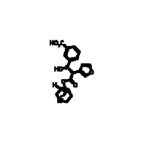 O=C(O)c1cccc(N(O)C(C(=O)O[C@H]2CN3CCC2CC3)c2ccoc2)c1